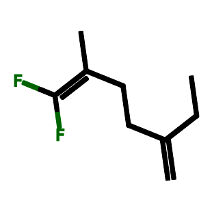 C=C(CC)CCC(C)=C(F)F